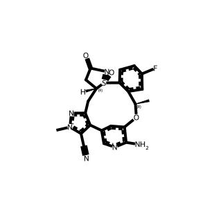 C[C@H]1Oc2cc(cnc2N)-c2c(nn(C)c2C#N)C[C@@H]2CC(=O)N=S2(=O)c2ccc(F)cc21